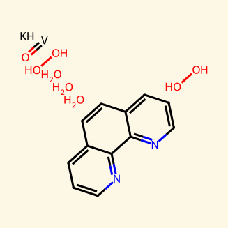 O.O.O.OO.OO.[KH].[O]=[V].c1cnc2c(c1)ccc1cccnc12